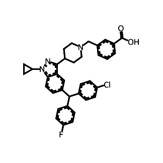 O=C(O)c1cccc(CN2CCC(c3nn(C4CC4)c4ccc(C(c5ccc(F)cc5)c5ccc(Cl)cc5)cc34)CC2)c1